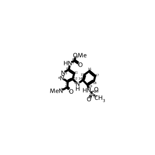 CNC(=O)c1nnc(NC(=O)OC)cc1Nc1ccccc1NS(C)(=O)=O